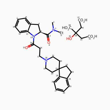 CCN(C)C(=O)[C@@H]1Cc2ccccc2N1C(=O)CCN1CCC2(CCc3ccccc32)CC1.O=C(O)CC(O)(CC(=O)O)C(=O)O